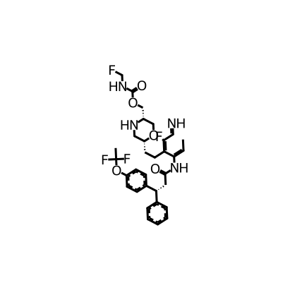 C/C=C(NC(=O)C[C@H](c1ccccc1)c1ccc(OC(C)(F)F)cc1)\C(CC[C@@H]1CN[C@H](COC(=O)NCF)CO1)=C(\F)C=N